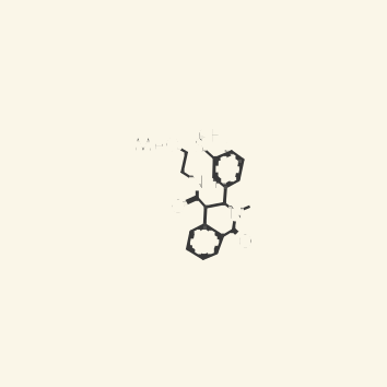 COCCNC(=O)C1c2ccccc2C(=O)N(C)C1c1cccc(SC(F)(F)F)c1